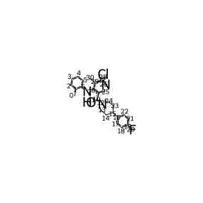 Cc1ccccc1Nc1c(C(=O)N2CCC(c3ccc(F)cc3)CC2)cnc(Cl)c1C